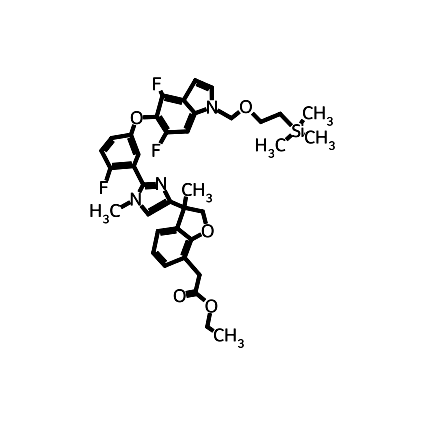 CCOC(=O)Cc1cccc2c1OCC2(C)c1cn(C)c(-c2cc(Oc3c(F)cc4c(ccn4COCC[Si](C)(C)C)c3F)ccc2F)n1